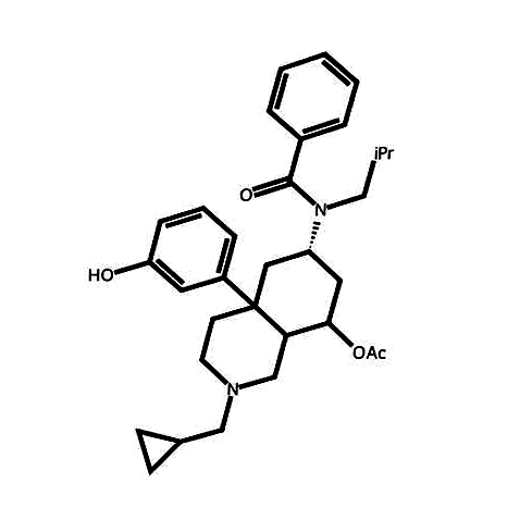 CC(=O)OC1C[C@@H](N(CC(C)C)C(=O)c2ccccc2)CC2(c3cccc(O)c3)CCN(CC3CC3)CC12